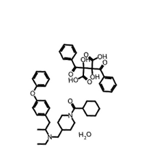 CCN(CC1CCN(C(=O)C2CCCCC2)CC1)C(C)Cc1ccc(Oc2ccccc2)cc1.O.O=C(O)C(O)(C(=O)c1ccccc1)C(O)(C(=O)O)C(=O)c1ccccc1